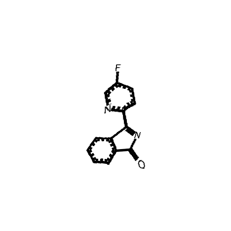 O=C1N=C(c2ccc(F)cn2)c2ccccc21